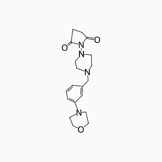 O=C1CCC(=O)N1N1CCN(Cc2cccc(N3CCOCC3)c2)CC1